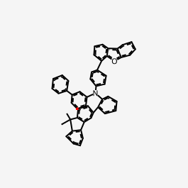 CC1(C)c2ccccc2-c2cc(-c3ccccc3N(c3ccc(-c4cccc5c4oc4ccccc45)cc3)c3cccc(-c4ccccc4)c3)ccc21